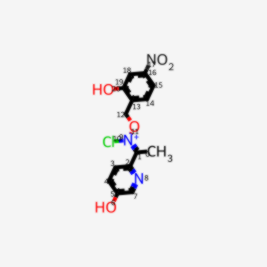 CC(c1ccc(O)cn1)=[N+](Cl)OCc1ccc([N+](=O)[O-])cc1O